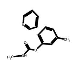 CNC(=O)Oc1cccc(C)c1.c1ccncc1